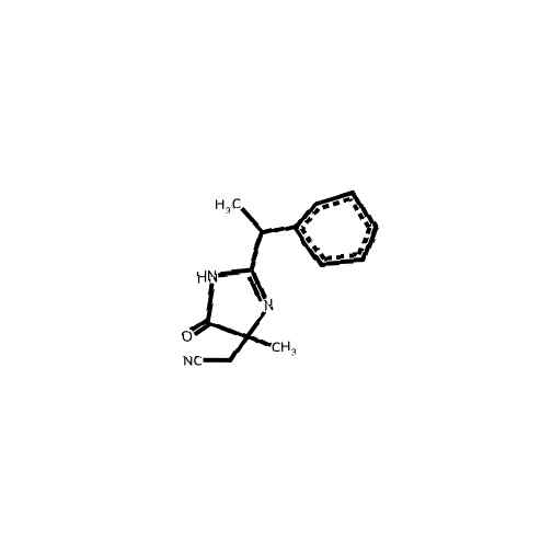 CC(C1=NC(C)(CC#N)C(=O)N1)c1ccccc1